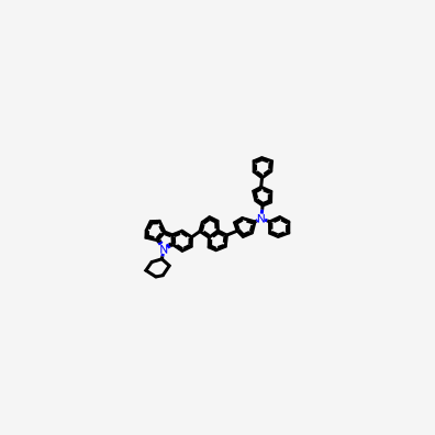 c1ccc(-c2ccc(N(c3ccccc3)c3ccc(-c4cccc5c(-c6ccc7c(c6)c6ccccc6n7C6CCCCC6)cccc45)cc3)cc2)cc1